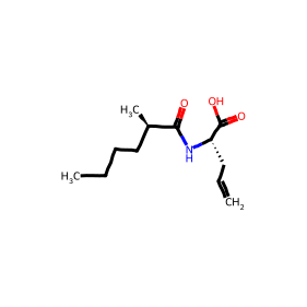 C=CC[C@H](NC(=O)[C@H](C)CCCC)C(=O)O